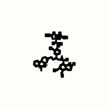 CN(C[C@@H](CCN1CCC(c2ccccc2[S@+](C)[O-])CC1)c1ccc(Cl)c(Cl)c1)C(=O)c1cc(C#N)c(C#N)c2ccccc12.O.O=C(O)CC(O)(CC(=O)O)C(=O)O